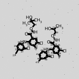 CC(C)(O)CONC(=O)c1cc(Cl)c(F)cc1Nc1ccc(I)cc1Cl.CC(O)CONC(=O)c1cc(Cl)c(F)cc1Nc1ccc(I)cc1Cl